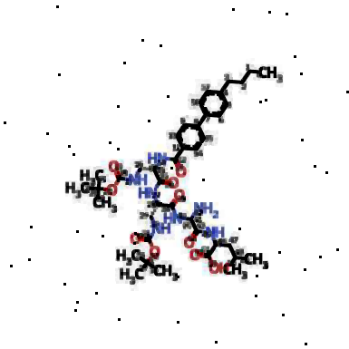 CCCCc1ccc(-c2ccc(C(=O)N[C@@H](CNC(=O)OC(C)(C)C)C(=O)N[C@@H](CNC(=O)OC(C)(C)C)C(=O)N[C@@H](N)C(=O)N[C@@H](CC(C)C)C(=O)O)cc2)cc1